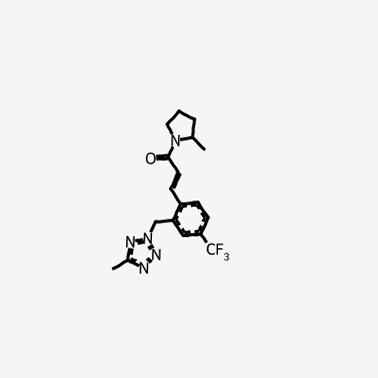 Cc1nnn(Cc2cc(C(F)(F)F)ccc2/C=C/C(=O)N2CCCC2C)n1